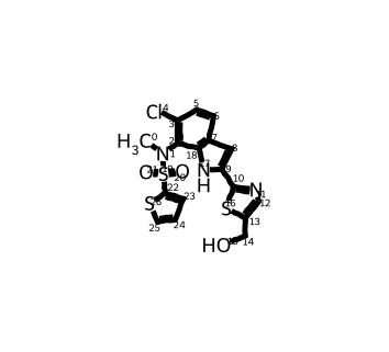 CN(c1c(Cl)ccc2cc(-c3ncc(CO)s3)[nH]c12)S(=O)(=O)c1cccs1